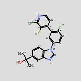 CC(C)(O)c1ccc2c(c1)ncn2-c1ccc(F)c(-c2ccnc(Cl)c2F)c1